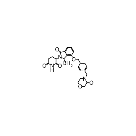 BC1c2c(OCc3ccc(CN4CCOCC4=O)cc3)cccc2C(=O)N1C1CCC(=O)NC1=O